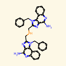 Nc1nc2ccccc2c2c1nc(CPCc1nc3c(N)nc4ccccc4c3n1Cc1ccccc1)n2Cc1ccccc1